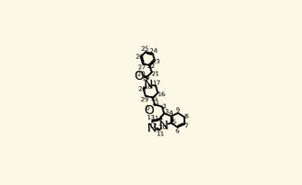 O=C(CC1C2=C(C=CCC2)n2cncc21)C1CCN(C(=O)Cc2ccccc2)CC1